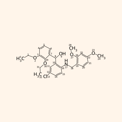 CCOc1cccc(C(O)c2cc(Cl)ccc2NCc2ccc(OC)cc2OC)c1OCC